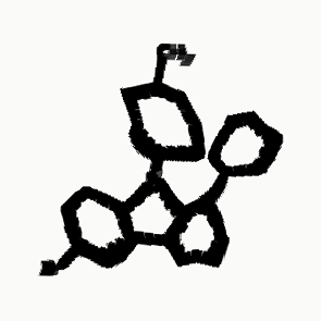 Cc1ccc(-n2c3ccc(Br)cc3c3cccc(-c4[c]cccc4)c32)cc1